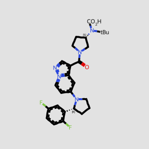 CC(C)(C)N(C(=O)O)[C@H]1CCN(C(=O)c2cnn3ccc(N4CCC[C@@H]4c4cc(F)ccc4F)cc23)C1